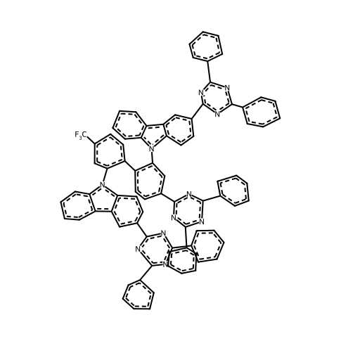 FC(F)(F)c1ccc(-c2ccc(-c3nc(-c4ccccc4)nc(-c4ccccc4)n3)cc2-n2c3ccccc3c3cc(-c4nc(-c5ccccc5)nc(-c5ccccc5)n4)ccc32)c(-n2c3ccccc3c3cc(-c4nc(-c5ccccc5)nc(-c5ccccc5)n4)ccc32)c1